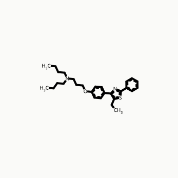 CCCCN(CCCC)CCCOc1ccc(-c2nc(-c3ccccc3)sc2CC)cc1